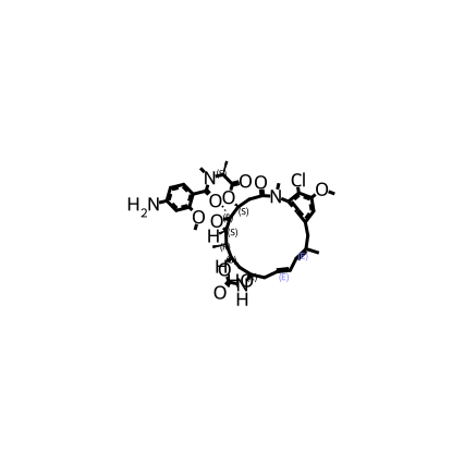 COc1cc(N)ccc1C(=O)N(C)[C@@H](C)C(=O)O[C@H]1CC(=O)N(C)c2cc(cc(OC)c2Cl)C/C(C)=C/C=C/C[C@@]2(O)C[C@H](OC(=O)N2)[C@@H](C)[C@@H]2O[C@@]12C